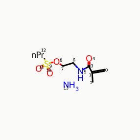 C=C(C)C(=O)NCCOS(=O)(=O)CCC.N